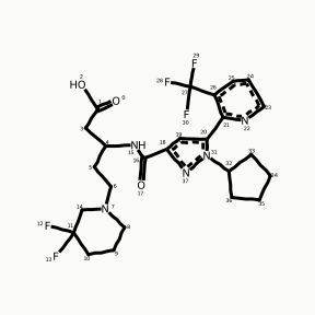 O=C(O)CC(CCN1CCCC(F)(F)C1)NC(=O)c1cc(-c2ncccc2C(F)(F)F)n(C2CCCC2)n1